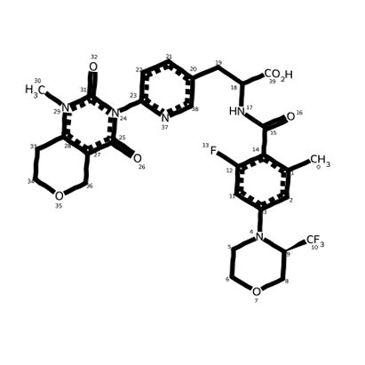 Cc1cc(N2CCOC[C@@H]2C(F)(F)F)cc(F)c1C(=O)NC(Cc1ccc(-n2c(=O)c3c(n(C)c2=O)CCOC3)nc1)C(=O)O